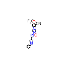 N#Cc1cc(N2CCN(C(=O)NCCC3CCN(Cc4ccccc4)CC3)CC2)ccc1OC(F)(F)F